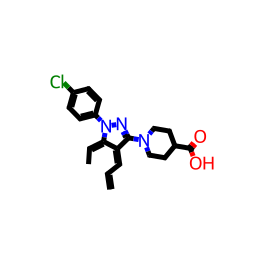 C=C/C=c1/c(N2CCC(C(=O)O)CC2)nn(-c2ccc(Cl)cc2)/c1=C/C